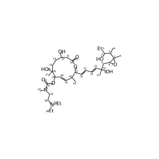 CCC(O)C(C)C1(C)OC1CC(C)(O)/C=C/C=C/C1OC(=O)CC(O)CCC(C)(O)C(OC(=O)N(C)CCN(CC)CC)/C=C/C1C